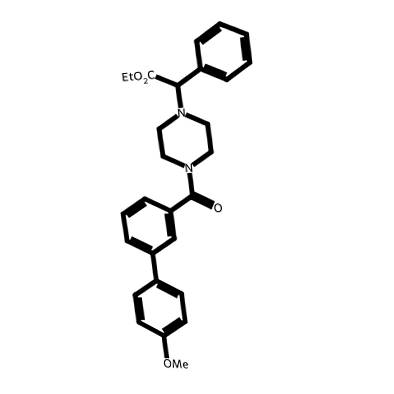 CCOC(=O)C(c1ccccc1)N1CCN(C(=O)c2cccc(-c3ccc(OC)cc3)c2)CC1